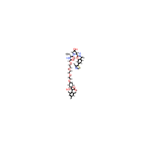 Cc1cc(C)c(C2=C(O)C3(CCC(OCCOCCOCCOCC(=O)N[C@H](C(=O)N4C[C@H](O)C[C@H]4C(=O)N[C@@H](C)c4ccc(-c5scnc5C)cc4)C(C)(C)C)CC3)OC2=O)c(C)c1